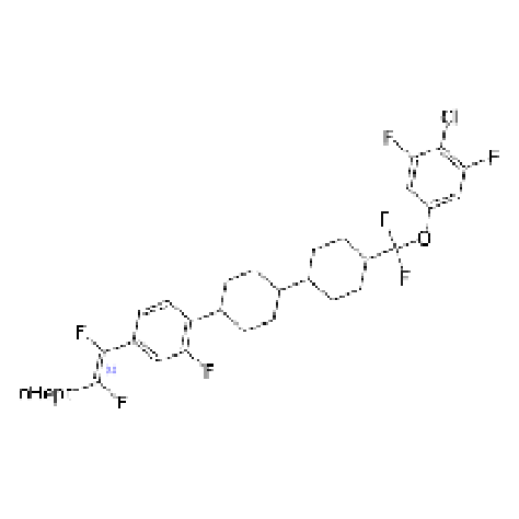 CCCCCCC/C(F)=C(\F)c1ccc(C2CCC(C3CCC(C(F)(F)Oc4cc(F)c(Cl)c(F)c4)CC3)CC2)c(F)c1